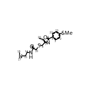 CSc1ccc(-c2nc(CSCC(=O)NCCN(C)C)c(C)o2)cc1